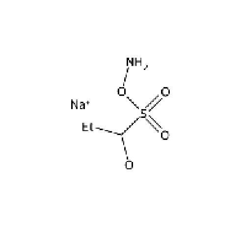 CCC([O-])S(=O)(=O)ON.[Na+]